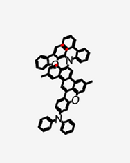 Cc1ccc2c(N(c3ccccc3-c3ccccc3)c3cccc4c3oc3ccccc34)cc3c4cc(C)cc5c4c(cc3c2c1)-c1ccc(N(c2ccccc2)c2ccccc2)cc1O5